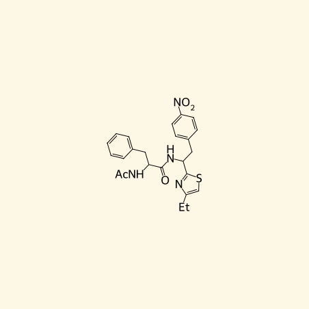 CCc1csc(C(Cc2ccc([N+](=O)[O-])cc2)NC(=O)C(Cc2ccccc2)NC(C)=O)n1